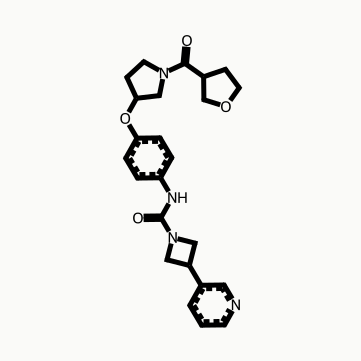 O=C(Nc1ccc(OC2CCN(C(=O)C3CCOC3)C2)cc1)N1CC(c2cccnc2)C1